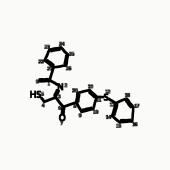 C=C(N=C(CS)C(=O)c1ccc(Sc2ccccc2)cc1)c1ccccc1